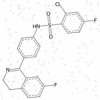 O=S(=O)(Nc1ccc(C2=NCCc3ccc(F)cc32)cc1)c1ccc(F)cc1Cl